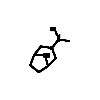 C[SH](S)N1CC2CCC(C1)N2